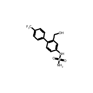 NS(=O)(=O)Nc1ccc(-c2ccc(C(F)(F)F)cc2)c(CO)c1